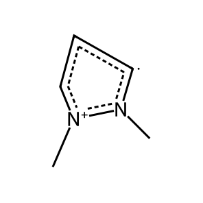 Cn1[c]cc[n+]1C